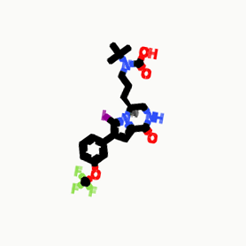 CC(C)(C)N(CCC[C@H]1CNC(=O)c2cc(-c3cccc(OC(F)(F)F)c3)c(I)n21)C(=O)O